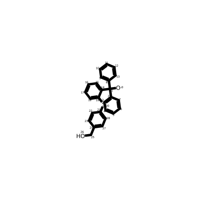 [O]C(c1ccccc1)(c1ccccc1)c1ccccc1Sc1ccc(CO)cc1